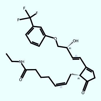 CCNC(=O)CCC/C=C\C[C@H]1C(=O)CC=C1/C=C/[C@@H](O)COc1cccc(C(F)(F)F)c1